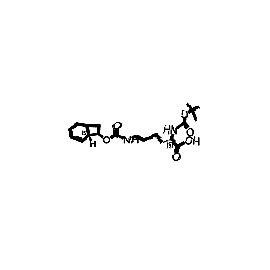 CC(C)(C)OC(=O)N[C@@H](CCCCNC(=O)OC1CC2CCC=C[C@H]21)C(=O)O